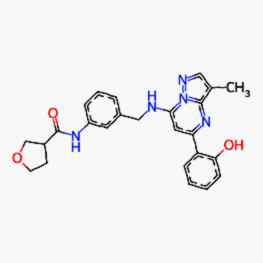 Cc1cnn2c(NCc3cccc(NC(=O)C4CCOC4)c3)cc(-c3ccccc3O)nc12